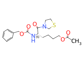 CC(=O)OCCCC[C@H](NC(=O)OCc1ccccc1)C(=O)N1CCSC1